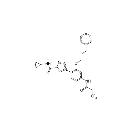 O=C(CC(F)(F)F)Nc1ccc(-n2cc(C(=O)NC3CC3)nn2)c(OCCCc2ccccc2)c1